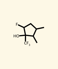 CC1CC(F)C(O)(C(F)(F)F)C1C